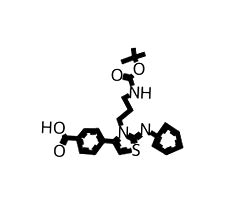 CC(C)(C)OC(=O)NCCCn1c(-c2ccc(C(=O)O)cc2)csc1=Nc1ccccc1